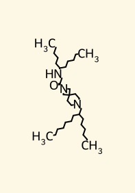 CCCCCCCC(CCCCCC)CN1CCC2(CC1)CN(C(=O)CNC(CCCCC)CCCCC)C2